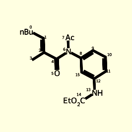 CCCCC=C(C)C(=O)N(C(C)=O)c1cccc(NC(=O)OCC)c1